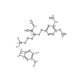 COc1cc2c(cc1C)[C@@H](CN(C)CCCN(CCc1ccc(CO)c(CO)c1)C(=O)C=O)C2